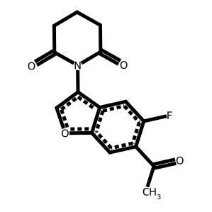 CC(=O)c1cc2occ(N3C(=O)CCCC3=O)c2cc1F